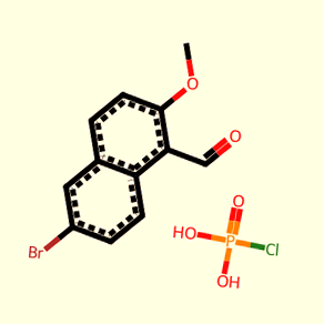 COc1ccc2cc(Br)ccc2c1C=O.O=P(O)(O)Cl